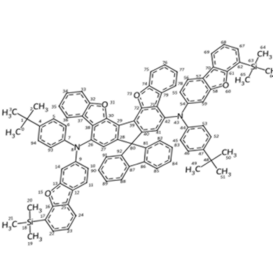 CC(C)(C)c1ccc(N(c2ccc3c(c2)oc2c([Si](C)(C)C)cccc23)c2cc3c(c4oc5ccccc5c24)-c2c(cc(N(c4ccc(C(C)(C)C)cc4)c4ccc5c(c4)oc4c([Si](C)(C)C)cccc45)c4c2oc2ccccc24)C32c3ccccc3-c3ccccc32)cc1